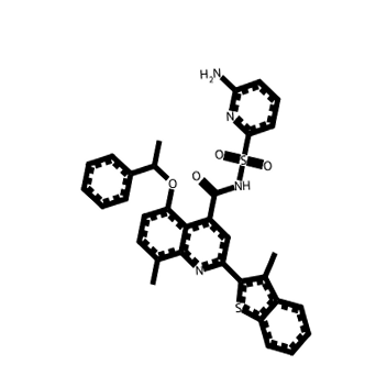 Cc1c(-c2cc(C(=O)NS(=O)(=O)c3cccc(N)n3)c3c(OC(C)c4ccccc4)ccc(C)c3n2)sc2ccccc12